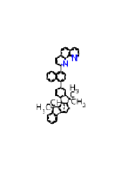 CC1(C)c2cc(-c3ccc(-c4ccc5ccc6cccnc6c5n4)c4ccccc34)ccc2-c2c1ccc1c2C(C)(C)c2ccccc2-1